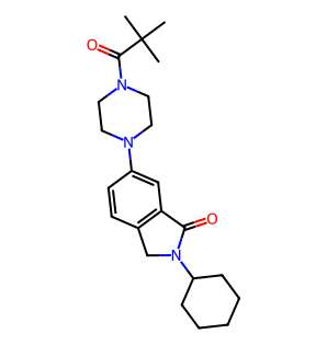 CC(C)(C)C(=O)N1CCN(c2ccc3c(c2)C(=O)N(C2CCCCC2)C3)CC1